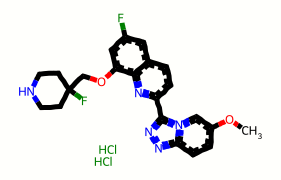 COc1ccc2nnc(-c3ccc4cc(F)cc(OCC5(F)CCNCC5)c4n3)n2c1.Cl.Cl